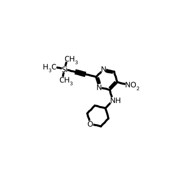 C[Si](C)(C)C#Cc1ncc([N+](=O)[O-])c(NC2CCOCC2)n1